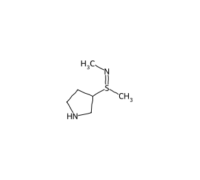 C/N=S(/C)C1CCNC1